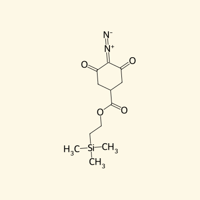 C[Si](C)(C)CCOC(=O)C1CC(=O)C(=[N+]=[N-])C(=O)C1